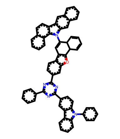 C1=CC2C(n3c4cc5ccccc5cc4c4ccc5ccccc5c43)=Cc3c(oc4cc(-c5nc(-c6ccccc6)nc(-c6ccc7c(c6)c6ccccc6n7-c6ccccc6)n5)ccc34)C2C=C1